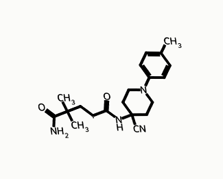 Cc1ccc(N2CCC(C#N)(NC(=O)[CH]CC(C)(C)C(N)=O)CC2)cc1